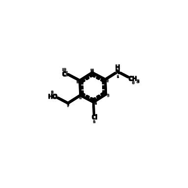 CNc1cc(Cl)c(CO)c(Cl)c1